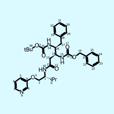 CC(C)[C@H](COc1cccnc1)NC(=O)C[C@H](NC(=O)OCc1ccccc1)[C@H](Cc1ccccc1)NC(=O)OC(C)(C)C